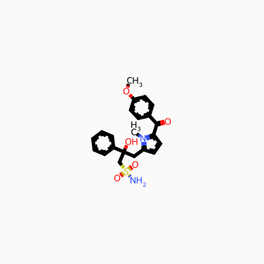 COc1ccc(C(=O)c2ccc(CC(O)(CS(N)(=O)=O)c3ccccc3)n2C)cc1